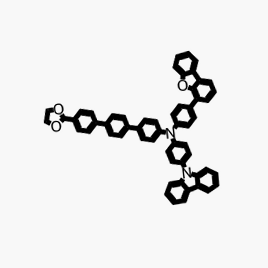 c1ccc2c(c1)oc1c(-c3ccc(N(c4ccc(-c5ccc(-c6ccc(C7OCCO7)cc6)cc5)cc4)c4ccc(-n5c6ccccc6c6ccccc65)cc4)cc3)cccc12